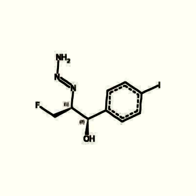 NN=N[C@H](CF)[C@H](O)c1ccc(I)cc1